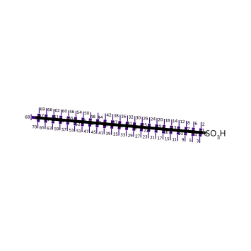 O=S(=O)(O)C(I)(I)C(I)(I)C(I)(I)C(I)(I)C(I)(I)C(I)(I)C(I)(I)C(I)(I)C(I)(I)C(I)(I)C(I)(I)C(I)(I)C(I)(I)C(I)(I)C(I)(I)C(I)(I)C(I)(I)C(I)(I)C(I)(I)C(I)(I)C(I)(I)C(I)(I)C(I)(I)I